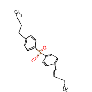 CCCCc1ccc(S(=O)(=O)c2ccc(CCCC)cc2)cc1